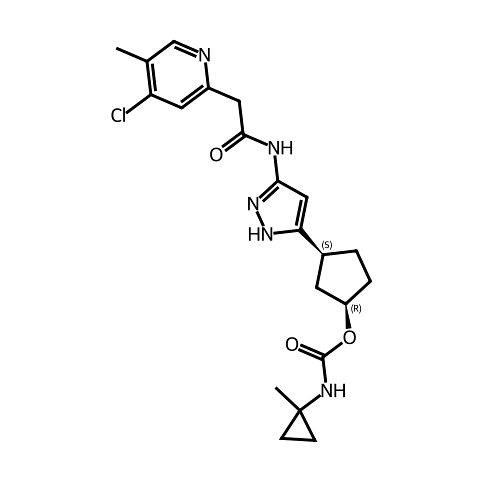 Cc1cnc(CC(=O)Nc2cc([C@H]3CC[C@@H](OC(=O)NC4(C)CC4)C3)[nH]n2)cc1Cl